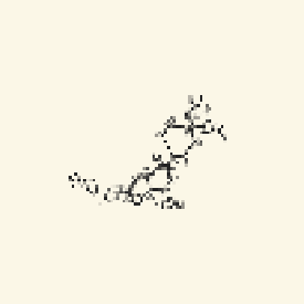 CC1(C)CCC(c2cc(C(C)(C)C)c3oc(C(=O)O)cc3n2)CC1